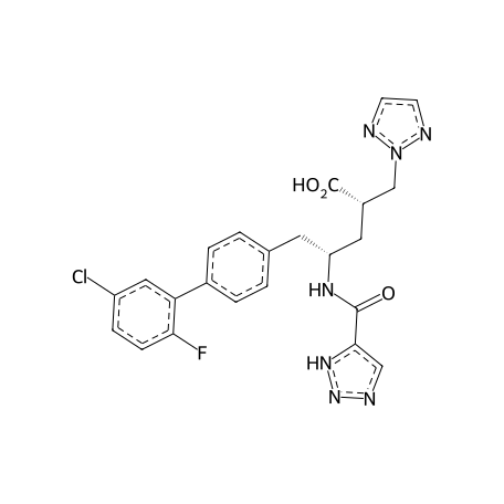 O=C(N[C@H](Cc1ccc(-c2cc(Cl)ccc2F)cc1)C[C@@H](Cn1nccn1)C(=O)O)c1cnn[nH]1